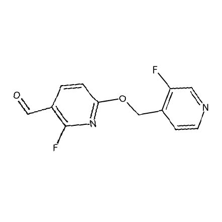 O=Cc1ccc(OCc2ccncc2F)nc1F